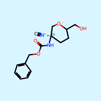 [C-]#[N+][C@@]1(NC(=O)OCc2ccccc2)CCC(CO)OC1